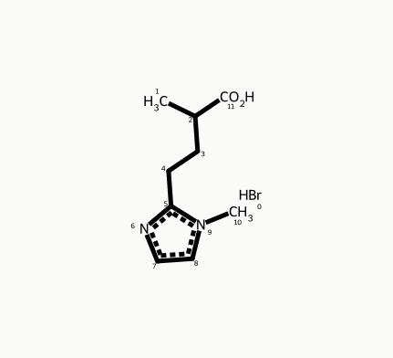 Br.CC(CCc1nccn1C)C(=O)O